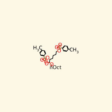 CCCCCCCCOC(=O)C(CCCCOS(=O)(=O)c1ccc(C)cc1)OS(=O)(=O)c1ccc(C)cc1